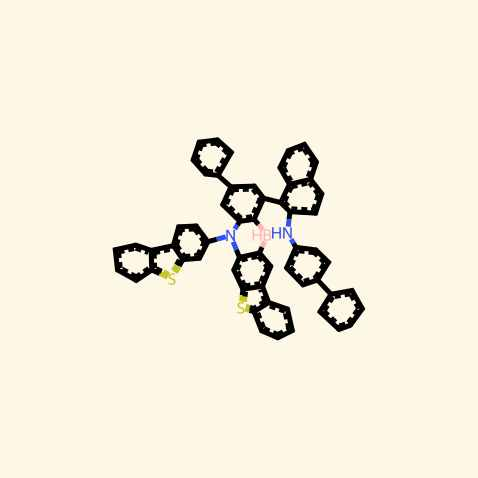 B1c2cc3c(cc2N(c2ccc4c(c2)sc2ccccc24)c2cc(-c4ccccc4)cc(-c4c(Nc5ccc(-c6ccccc6)cc5)ccc5ccccc45)c21)sc1ccccc13